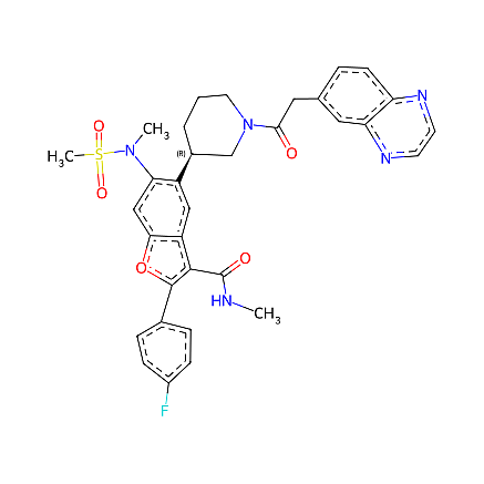 CNC(=O)c1c(-c2ccc(F)cc2)oc2cc(N(C)S(C)(=O)=O)c([C@H]3CCCN(C(=O)Cc4ccc5nccnc5c4)C3)cc12